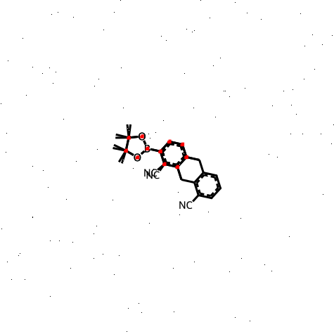 CC1(C)OB(c2ccc3c(c2C#N)C2c4c(C#N)cccc4C3c3ccc(B4OC(C)(C)C(C)(C)O4)c(C#N)c32)OC1(C)C